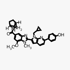 COc1cc(C(=O)N2C[C@H]3CC[C@@H]2[C@@H]3N)cc2nc(-c3cc4ccc(-c5ccc(O)cc5)nc4n3CC3CC3)n(C)c12